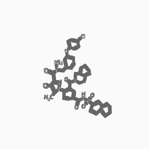 CCCCN(Cc1cccc(Oc2ccc(Cl)cc2)c1)C(=O)c1nn(-c2ccc(C(=O)NS(=O)(=O)c3ccc4ccccc4c3)cc2C(=O)N2CCc3ccccc3C2)c(C)c1Cl